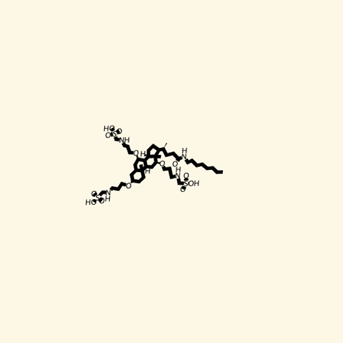 CCCCCCCCNC(=O)CC[C@@H](C)C1CC[C@H]2C3[C@H](OCCCNCS(=O)(=O)O)CC4C[C@H](OCCCNCS(=O)(=O)O)CCC4(C)[C@H]3C[C@H](OCCCNCS(=O)(=O)O)C12C